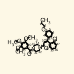 CCCOc1cccc(C(=CC(=O)N2CCN(C(=O)c3cc(OC)c(OC)c(OC)c3)CC2)c2ccccc2Cl)c1